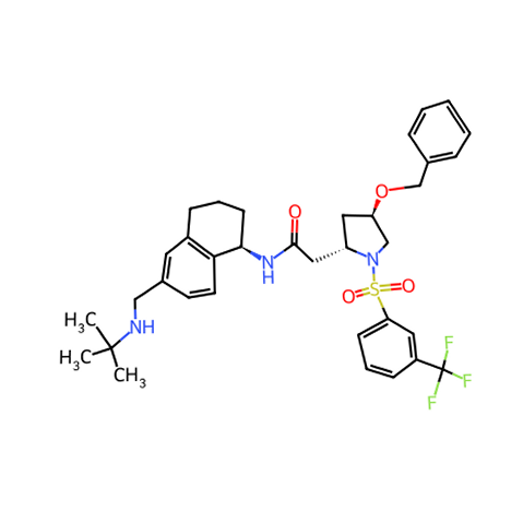 CC(C)(C)NCc1ccc2c(c1)CCC[C@H]2NC(=O)C[C@@H]1C[C@@H](OCc2ccccc2)CN1S(=O)(=O)c1cccc(C(F)(F)F)c1